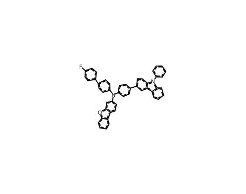 Fc1ccc(-c2ccc(N(c3ccc(-c4ccc5c(c4)c4ccccc4n5-c4ccccc4)cc3)c3ccc4c(c3)oc3ccccc34)cc2)cc1